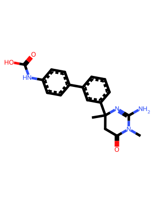 CN1C(=O)CC(C)(c2cccc(-c3ccc(NC(=O)O)cc3)c2)N=C1N